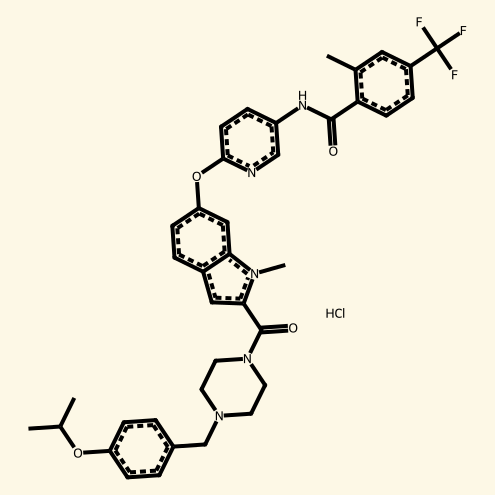 Cc1cc(C(F)(F)F)ccc1C(=O)Nc1ccc(Oc2ccc3cc(C(=O)N4CCN(Cc5ccc(OC(C)C)cc5)CC4)n(C)c3c2)nc1.Cl